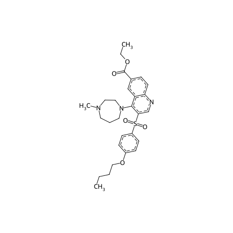 CCCCOc1ccc(S(=O)(=O)c2cnc3ccc(C(=O)OCC)cc3c2N2CCCN(C)CC2)cc1